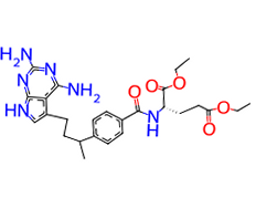 CCOC(=O)CC[C@H](NC(=O)c1ccc(C(C)CCc2c[nH]c3nc(N)nc(N)c23)cc1)C(=O)OCC